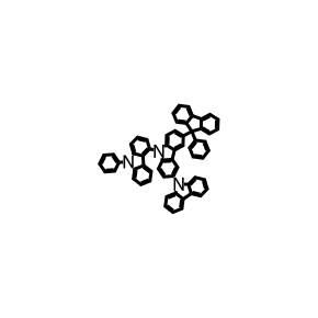 c1ccc(-n2c3ccccc3c3c(-n4c5ccc(-n6c7ccccc7c7ccccc76)cc5c5cc(C6(c7ccccc7)c7ccccc7-c7ccccc76)ccc54)cccc32)cc1